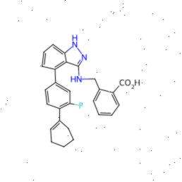 O=C(O)c1ccccc1CNc1n[nH]c2cccc(-c3ccc(C4=CCCCC4)c(F)c3)c12